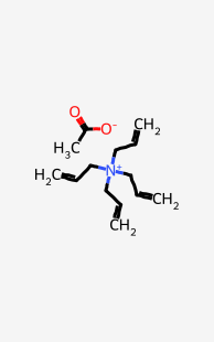 C=CC[N+](CC=C)(CC=C)CC=C.CC(=O)[O-]